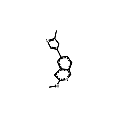 CNc1cc2cc(C3=CN=C(C)C3)ccc2cn1